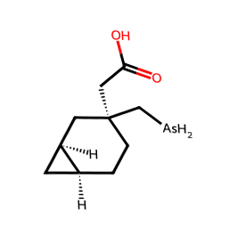 O=C(O)C[C@]1(C[AsH2])CC[C@H]2C[C@H]2C1